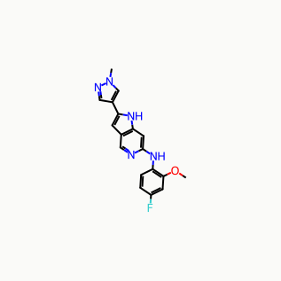 COc1cc(F)ccc1Nc1cc2[nH]c(-c3cnn(C)c3)cc2cn1